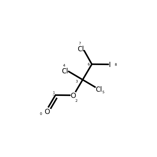 O=[C]OC(Cl)(Cl)C(Cl)I